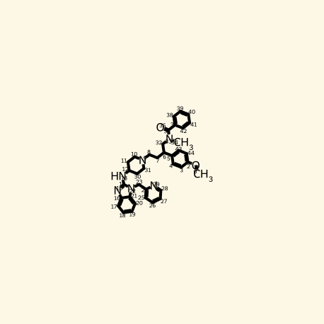 COc1ccc(C(CCN2CCC(Nc3nc4ccccc4n3Cc3ccccn3)CC2)CN(C)C(=O)c2ccccc2)cc1